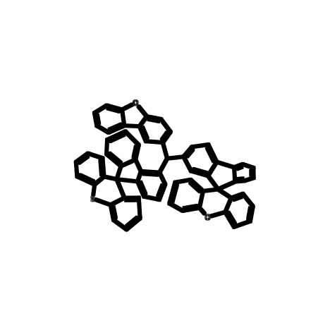 c1ccc2c(c1)Oc1ccccc1C21c2ccccc2-c2ccc(C(c3ccc4oc5ccccc5c4c3)c3cccc4c3-c3ccccc3C43c4ccccc4Sc4ccccc43)cc21